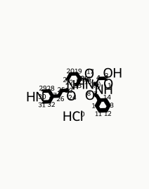 Cl.O=C(O)C[C@@H](NC(=O)c1ccccc1)NC(=O)[C@@H]1CCCN(C(=O)CCC2CCNCC2)C1